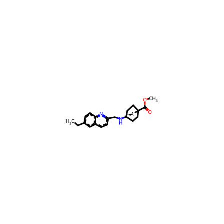 CCc1ccc2nc(CNC34CCC(C(=O)OC)(CC3)CC4)ccc2c1